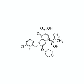 CC(C)[C@@H](CO)n1cc(C(=O)O)c(=O)c2cc(Cc3cccc(Cl)c3F)c(OC3CCOCC3)cc21